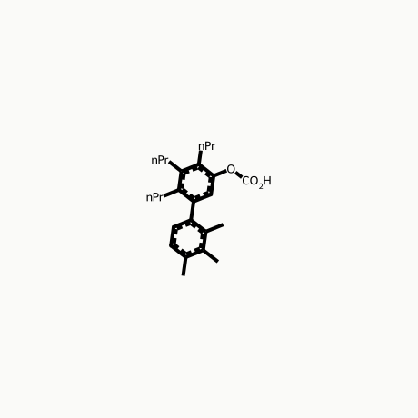 CCCc1c(OC(=O)O)cc(-c2ccc(C)c(C)c2C)c(CCC)c1CCC